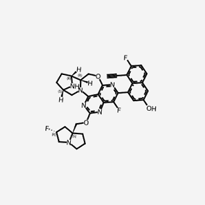 C#Cc1c(F)ccc2cc(O)cc(-c3nc4c5c(nc(OC[C@@]67CCCN6C[C@H](F)C7)nc5c3F)N3C[C@@H]5CC[C@@H](N5)[C@@H]3CO4)c12